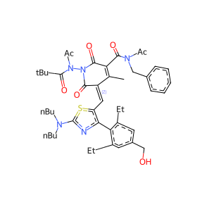 CCCCN(CCCC)c1nc(-c2c(CC)cc(CO)cc2CC)c(/C=C2\C(=O)N(N(C(C)=O)C(=O)C(C)(C)C)C(=O)C(C(=O)N(Cc3ccccc3)C(C)=O)=C2C)s1